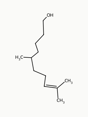 CC(C)=CCCC(C)CCCCO